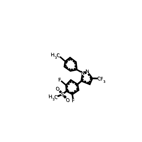 Cc1ccc(-n2nc(C(F)(F)F)cc2-c2cc(F)c(S(C)(=O)=O)c(F)c2)cc1